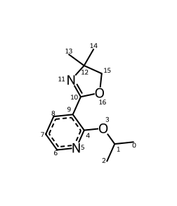 CC(C)Oc1ncccc1C1=NC(C)(C)CO1